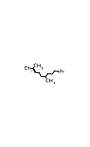 CC/C(C)=C/CCC(C)CCCC(C)C